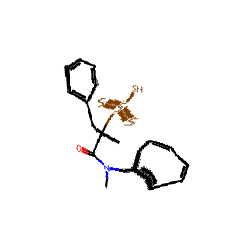 CN(C(=O)C(C)(Cc1ccccc1)S(=S)(=S)S)c1ccccc1